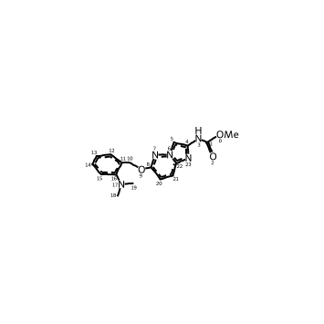 COC(=O)Nc1cn2nc(OCc3ccccc3N(C)C)ccc2n1